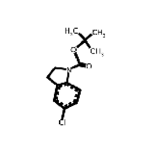 CC(C)(C)OC(=O)N1CCc2cc(Cl)ccc21